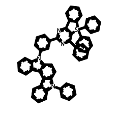 c1ccc(-c2nc(-c3cccc(-n4c5ccccc5c5c6c7ccccc7n(-c7ccccc7)c6ccc54)c3)nc3c2[Si](c2ccccc2)(c2ccccc2)c2ccccc2-3)cc1